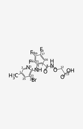 Cc1cnc(Nc2c(C(=O)NOCC(=O)O)cc(F)c(F)c2F)c(Br)c1